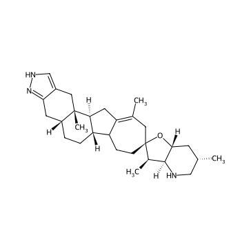 CC1=C2C[C@H]3[C@@H](CC[C@@H]4Cc5n[nH]cc5C[C@@]43C)C2CC[C@@]2(C1)O[C@@H]1C[C@H](C)CN[C@H]1[C@H]2C